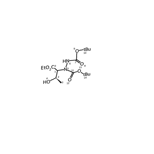 CCOC(=O)C([C@@H](C)O)N(NC(=O)OC(C)(C)C)C(=O)OC(C)(C)C